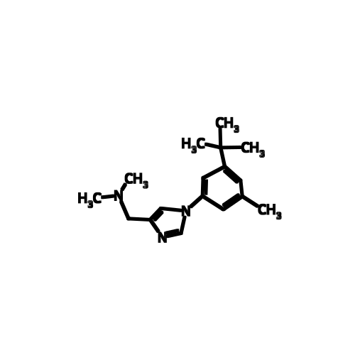 Cc1cc(-n2cnc(CN(C)C)c2)cc(C(C)(C)C)c1